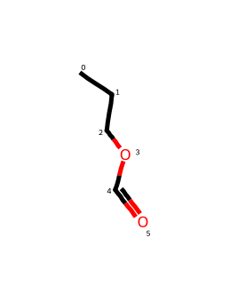 CCCOC=O